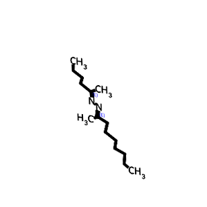 CCCCCCC/C(C)=N/N=C(\C)CCCC